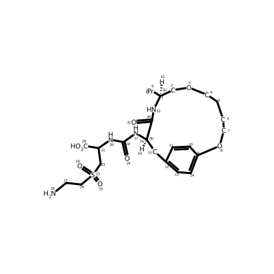 CC(C)[C@H]1COCCCCOc2ccc(cc2)C[C@@H](NC(=O)NC(CS(=O)(=O)CCN)C(=O)O)C(=O)N1